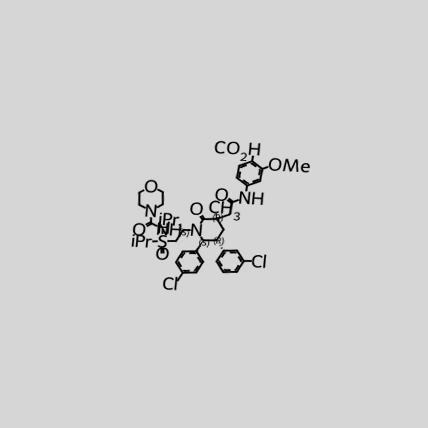 COc1cc(NC(=O)C[C@@]2(C)C[C@H](c3cccc(Cl)c3)[C@@H](c3ccc(Cl)cc3)N([C@H](C[SH](=O)(NC(=O)N3CCOCC3)C(C)C)C(C)C)C2=O)ccc1C(=O)O